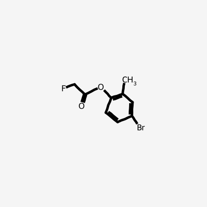 Cc1cc(Br)ccc1OC(=O)CF